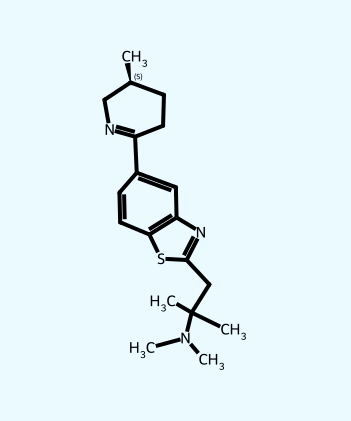 C[C@H]1CCC(c2ccc3sc(CC(C)(C)N(C)C)nc3c2)=NC1